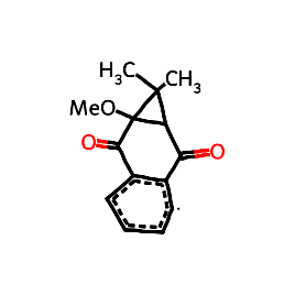 COC12C(=O)c3ccc[c]c3C(=O)C1C2(C)C